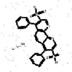 O.O=S(=O)([O-])c1cnc2c(ccc3c(-c4ccccc4)c(S(=O)(=O)[O-])cnc32)c1-c1ccccc1.[Na+].[Na+]